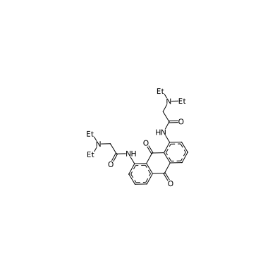 CCN(CC)CC(=O)Nc1cccc2c1C(=O)c1c(NC(=O)CN(CC)CC)cccc1C2=O